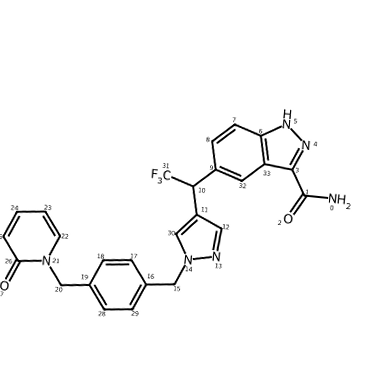 NC(=O)c1n[nH]c2ccc(C(c3cnn(Cc4ccc(Cn5ccccc5=O)cc4)c3)C(F)(F)F)cc12